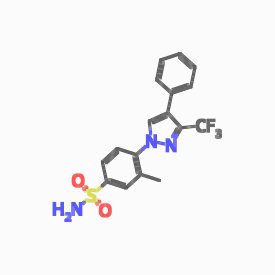 Cc1cc(S(N)(=O)=O)ccc1-n1cc(-c2ccccc2)c(C(F)(F)F)n1